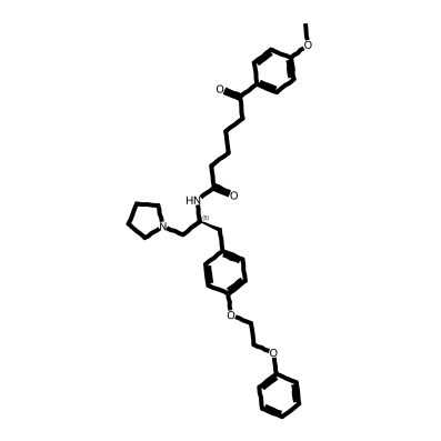 COc1ccc(C(=O)CCCCC(=O)N[C@@H](Cc2ccc(OCCOc3ccccc3)cc2)CN2CCCC2)cc1